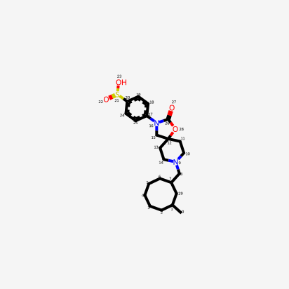 CC1CCCCCC(CN2CCC3(CC2)CN(c2ccc(S(=O)O)cc2)C(=O)O3)C1